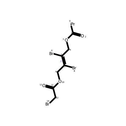 CC(C)C(=O)OC/C(Br)=C(\Br)COC(=O)CBr